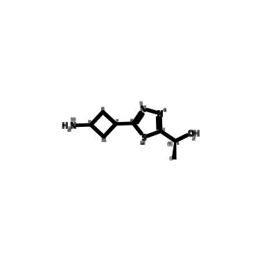 C[C@H](O)c1nnc(C2CC(N)C2)s1